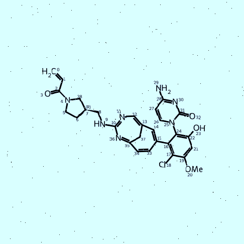 C=CC(=O)N1CC[C@H](CNC2=NC=C3C=C(c4c(Cl)c(OC)cc(O)c4-n4ccc(N)nc4=O)C=CC(=N2)C3)C1